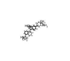 CNC(=O)c1cccc2c1CCCN2c1n[nH]c2nc(N3CCC(C)(CN)CC3)cnc12.Cl